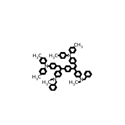 CCN(Cc1ccccc1)c1ccc(C(=Cc2ccc(N(c3ccc(C)cc3)c3ccc(C)cc3)cc2)c2ccc(C(=Cc3ccc(N(c4ccc(C)cc4)c4ccc(C)cc4)cc3)c3ccc(N(CC)Cc4ccccc4)cc3)cc2)cc1